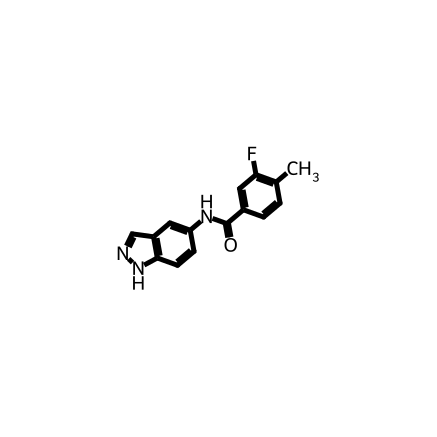 Cc1ccc(C(=O)Nc2ccc3[nH]ncc3c2)cc1F